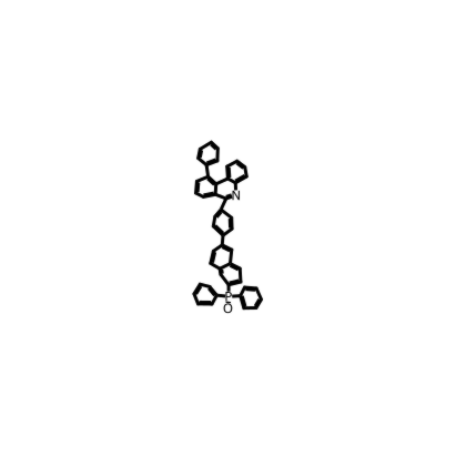 O=P(c1ccccc1)(c1ccccc1)c1ccc2cc(-c3ccc(-c4nc5ccccc5c5c(-c6ccccc6)cccc45)cc3)ccc2c1